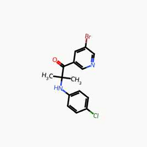 CC(C)(Nc1ccc(Cl)cc1)C(=O)c1cncc(Br)c1